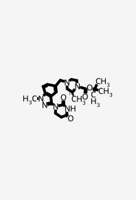 C[C@H]1CN(Cc2ccc3c(c2)c(N2CCC(=O)NC2=O)nn3C)CCN1C(=O)OC(C)(C)C